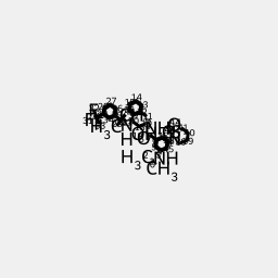 CC(C)Nc1cc(C(=O)N[C@@H](Cc2ccccc2)[C@H](O)CNC(C)(C)c2cccc(C(F)(F)F)c2)cc(N2CCCCS2(=O)=O)c1